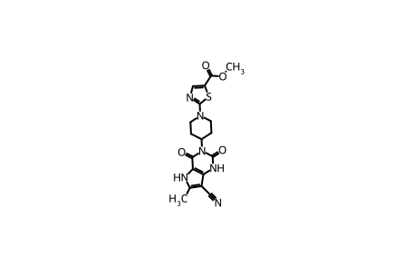 COC(=O)c1cnc(N2CCC(n3c(=O)[nH]c4c(C#N)c(C)[nH]c4c3=O)CC2)s1